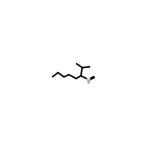 [CH2]=[GeH][CH](CCCCC)C(C)C